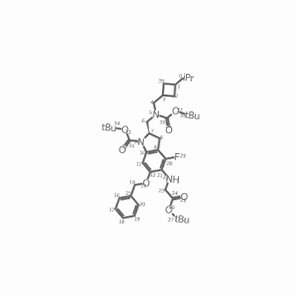 CC(C)C1CC(CN(C[C@H]2Cc3c(cc(OCc4ccccc4)c(NCC(=O)OC(C)(C)C)c3F)N2C(=O)OC(C)(C)C)C(=O)OC(C)(C)C)C1